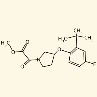 COC(=O)C(=O)N1CCC(Oc2ccc(F)cc2C(C)(C)C)C1